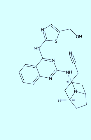 N#CCCN1C2CC[C@H]1C[C@H](Nc1nc(Nc3ncc(CO)s3)c3ccccc3n1)C2